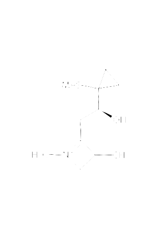 CSC1([C@@H](O)CC2=[N+](C)CC2C)CC1